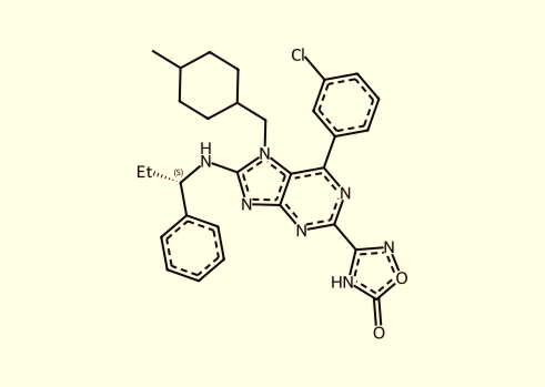 CC[C@H](Nc1nc2nc(-c3noc(=O)[nH]3)nc(-c3cccc(Cl)c3)c2n1CC1CCC(C)CC1)c1ccccc1